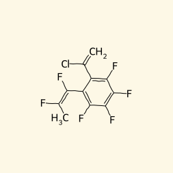 C=C(Cl)c1c(F)c(F)c(F)c(F)c1/C(F)=C(\C)F